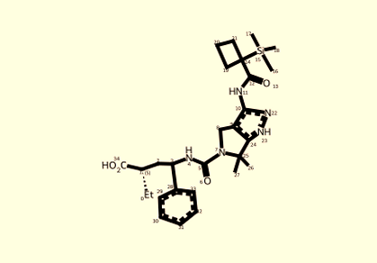 CC[C@@H](CC(NC(=O)N1Cc2c(NC(=O)C3([Si](C)(C)C)CCC3)n[nH]c2C1(C)C)c1ccccc1)C(=O)O